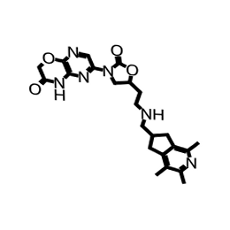 Cc1nc(C)c2c(c1C)CC(CNCCC1CN(c3cnc4c(n3)NC(=O)CO4)C(=O)O1)C2